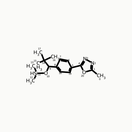 Cc1nnc(-c2ccc(C(O[SiH](C)C)C(C)(C)C)cc2)o1